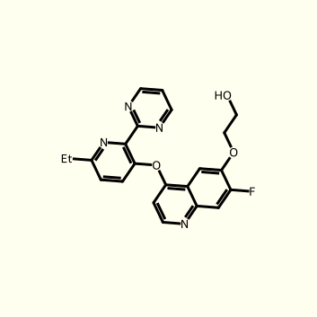 CCc1ccc(Oc2ccnc3cc(F)c(OCCO)cc23)c(-c2ncccn2)n1